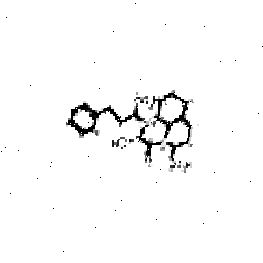 C[C@H](NC(CCc1ccccc1)C(=O)O)C(=O)N1C(C(=O)O)CCC2CCCCC21